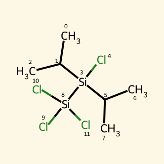 CC(C)[Si](Cl)(C(C)C)[Si](Cl)(Cl)Cl